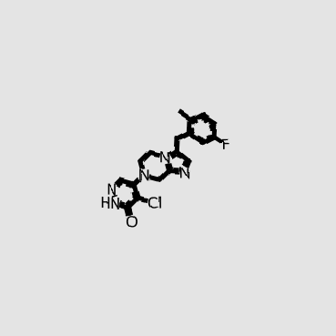 Cc1ccc(F)cc1Cc1cnc2n1CCN(c1cn[nH]c(=O)c1Cl)C2